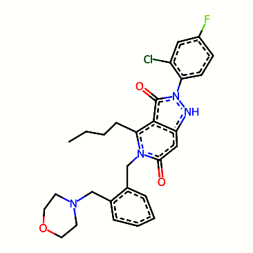 CCCCc1c2c(=O)n(-c3ccc(F)cc3Cl)[nH]c2cc(=O)n1Cc1ccccc1CN1CCOCC1